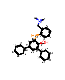 CN(C)Cc1ccccc1Pc1cc(C2C=CC=CC2)cc(C2C=CC=CC2)c1O